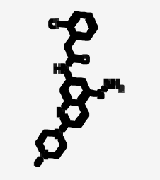 CN1CCN(c2ccc3c(SN)cc(NC(=O)Cc4ccccc4Cl)cc3n2)CC1